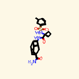 Cc1cccc(S(=O)(=O)NC2(C(=O)NC3C4CC5CC3CC(C(N)=O)(C5)C4)CCC2)c1